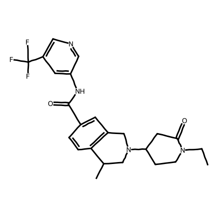 CCN1CCC(N2Cc3cc(C(=O)Nc4cncc(C(F)(F)F)c4)ccc3C(C)C2)CC1=O